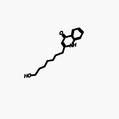 O=c1cc(CCCCCCCO)[nH]c2ccccc12